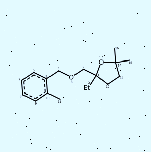 CCC1(COCc2ccccc2C)CCC(C)(C)O1